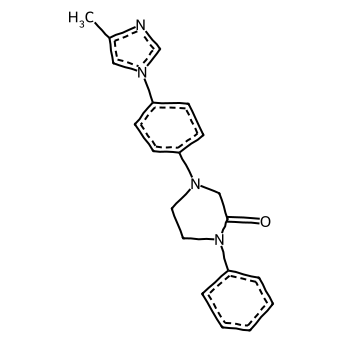 Cc1cn(-c2ccc(N3CCN(c4ccccc4)C(=O)C3)cc2)cn1